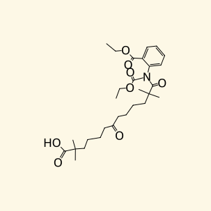 CCOC(=O)c1ccccc1N(C(=O)OCC)C(=O)C(C)(C)CCCCC(=O)CCCCC(C)(C)C(=O)O